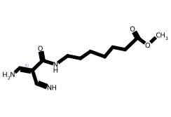 COC(=O)CCCCCCNC(=O)/C(C=N)=C/N